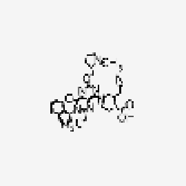 CCc1nc2c(N3CCN(C(=O)O)C(CC#N)C3)nc(OCC3CCCN3C)nc2c(=O)n1-c1cccc2ccccc12